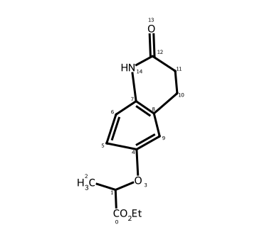 CCOC(=O)C(C)Oc1ccc2c(c1)CCC(=O)N2